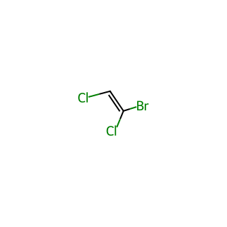 Cl/C=C(\Cl)Br